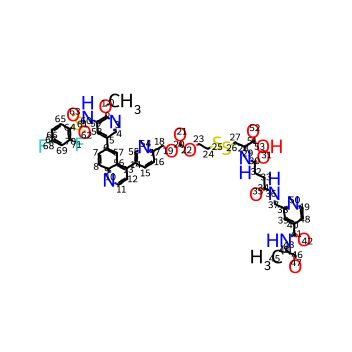 COc1ncc(-c2ccc3nccc(-c4ccc(COC(=O)OCCSSCC(NC(=O)CCC(=O)NCc5cc(C(=O)N[C@@H](C)C=O)ccn5)C(=O)O)nc4)c3c2)cc1NS(=O)(=O)c1ccc(F)cc1F